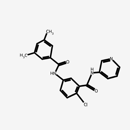 Cc1cc(C)cc(C(=O)Nc2ccc(Cl)c(C(=O)Nc3cccnc3)c2)c1